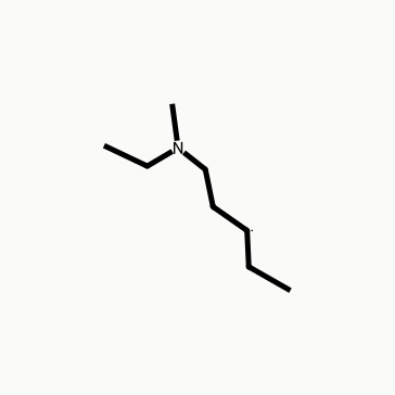 CC[CH]CCN(C)CC